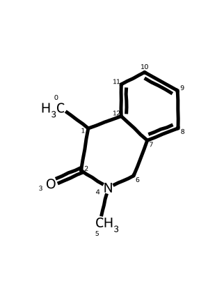 CC1C(=O)N(C)Cc2ccccc21